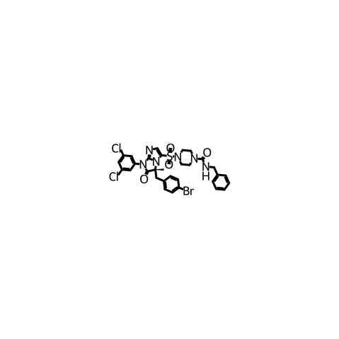 C[C@@]1(Cc2ccc(Br)cc2)C(=O)N(c2cc(Cl)cc(Cl)c2)c2ncc(S(=O)(=O)N3CCN(C(=O)NCc4ccccc4)CC3)n21